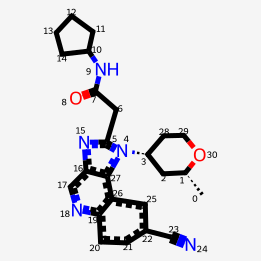 C[C@@H]1C[C@H](n2c(CC(=O)NC3CCCC3)nc3cnc4ccc(C#N)cc4c32)CCO1